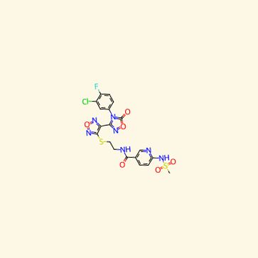 CS(=O)(=O)Nc1ccc(C(=O)NCCSc2nonc2-c2noc(=O)n2-c2ccc(F)c(Cl)c2)cn1